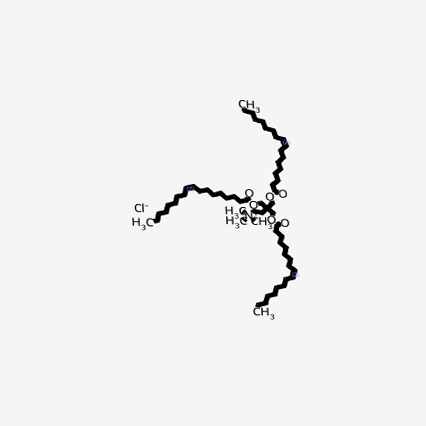 CCCCCCCC/C=C\CCCCCCCC(=O)OCC(CC[N+](C)(C)C)(COC(=O)CCCCCCC/C=C\CCCCCCCC)COC(=O)CCCCCCC/C=C\CCCCCCCC.[Cl-]